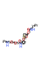 CC(C)/C=C/CNC(=O)COCCO[C@@H](COc1cccc(NC(=O)CCOCCOCCNC(C)C)c1)SC#N